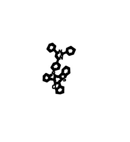 c1ccc(-c2cc(-c3ccc(-n4c5ccccc5c5c6oc7ccccc7c6c6sc7ccccc7c6c54)cc3)nc(-c3ccccc3)n2)cc1